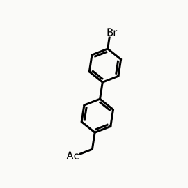 CC(=O)Cc1ccc(-c2ccc(Br)cc2)cc1